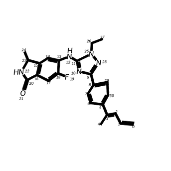 C=C/C=C(\C)c1ccc(-c2nc(Nc3cc4c(cc3F)C(=O)NC4C)n(CC)n2)cc1